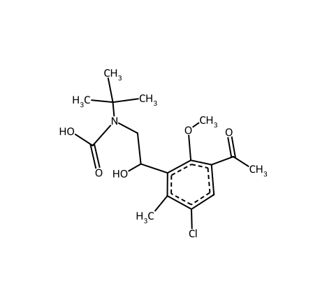 COc1c(C(C)=O)cc(Cl)c(C)c1C(O)CN(C(=O)O)C(C)(C)C